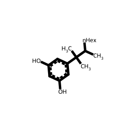 CCCCCCC(C)C(C)(C)c1cc(O)cc(O)c1